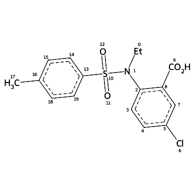 CCN(c1ccc(Cl)cc1C(=O)O)S(=O)(=O)c1ccc(C)cc1